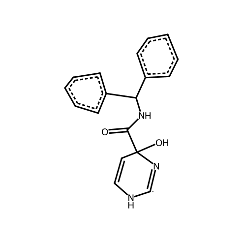 O=C(NC(c1ccccc1)c1ccccc1)C1(O)C=CN[C]=N1